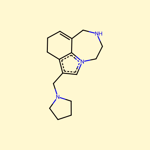 C1=C2CNCCn3cc(CN4CCCC4)c(c32)CC1